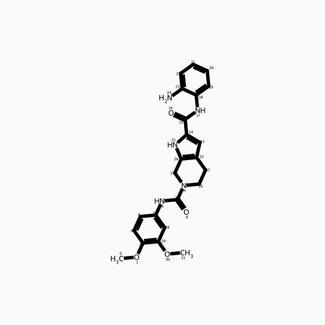 COc1ccc(NC(=O)N2CCc3cc(C(=O)Nc4ccccc4N)[nH]c3C2)cc1OC